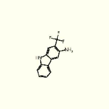 Nc1cc2c(cc1C(F)(F)F)[nH]c1ccccc12